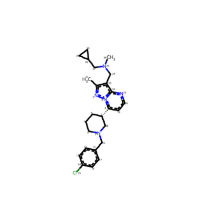 Cc1nn2c([C@H]3CCCN(Cc4ccc(Cl)cc4)C3)ccnc2c1CN(C)CC1CC1